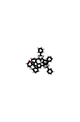 c1ccc(-c2nc(-c3ccccc3)nc(-c3ccc4c(c3)-c3c(-c5nc(-c6ccccc6)nc6c5sc5ccccc56)cccc3C43c4ccccc4Oc4ccccc43)n2)cc1